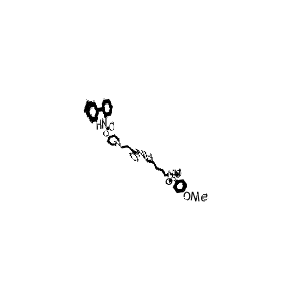 COc1ccc(S(=O)(=O)NCCCCCNC(=O)CCN2CCC(OC(=O)Nc3ccccc3-c3ccccc3)CC2)cc1